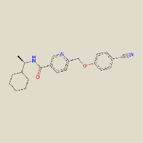 C[C@@H](NC(=O)c1ccc(COc2ccc(C#N)cc2)nc1)C1CCCCC1